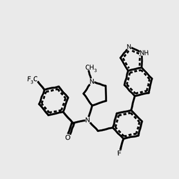 CN1CCC(N(Cc2cc(-c3ccc4[nH]ncc4c3)ccc2F)C(=O)c2ccc(C(F)(F)F)cc2)C1